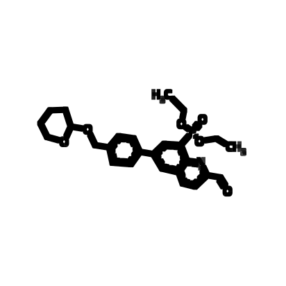 CCOP(=O)(OCC)c1cc(-c2ccc(COC3CCCCO3)cc2)cc2ccc(C=O)nc12